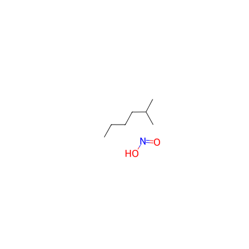 CCCCC(C)C.O=NO